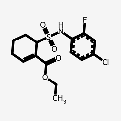 CCOC(=O)C1=CCCCC1S(=O)(=O)Nc1ccc(Cl)cc1F